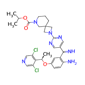 CC(C)OC(=O)N1CCCC2(C1)CN(c1ncc(C(=N)c3cc(O[C@H](C)c4c(Cl)cncc4Cl)ccc3N)cn1)C2